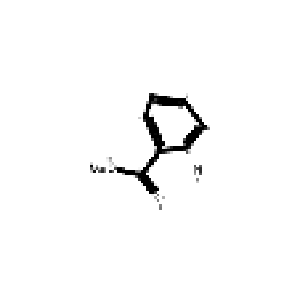 COC(=O)c1ccccc1.[N]